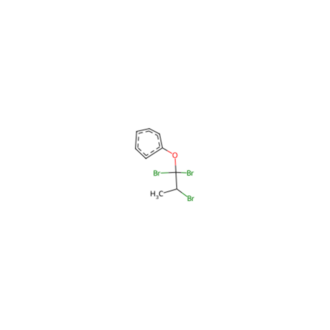 CC(Br)C(Br)(Br)Oc1ccccc1